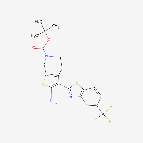 CC(C)(C)OC(=O)N1CCc2c(sc(N)c2-c2nc3cc(C(F)(F)F)ccc3s2)C1